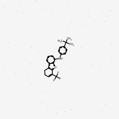 CC(C)(C)c1ccc(Nc2cccc3c4c(oc23)C(C(F)(F)F)=CCC4)cc1